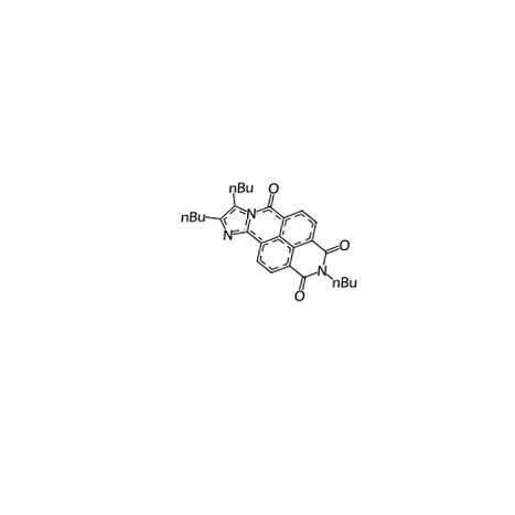 CCCCc1nc2c3ccc4c5c(ccc(c(=O)n2c1CCCC)c53)C(=O)N(CCCC)C4=O